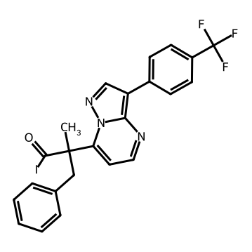 CC(Cc1ccccc1)(C(=O)I)c1ccnc2c(-c3ccc(C(F)(F)F)cc3)cnn12